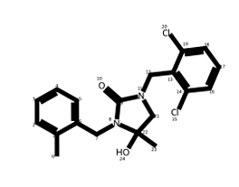 Cc1ccccc1CN1C(=O)N(Cc2c(Cl)cccc2Cl)CC1(C)O